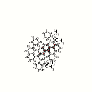 CC1(C)c2ccccc2-c2cc(N(c3ccc(-c4c(-c5ccccc5)ccc5cccc(-c6cccc7c6-c6ccccc6C7(C)C)c45)cc3)c3ccccc3-c3ccccc3-c3ccccc3)ccc21